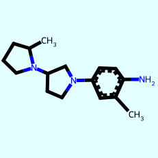 Cc1cc(N2CCC(N3CCCC3C)C2)ccc1N